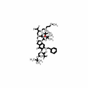 COCCOCOC(CN(C[C@H]1Cc2c(cc(OCc3ccccc3)c(N(CC(=O)OC(C)(C)C)C(=O)C(F)(F)F)c2F)N1C(=O)OC(C)(C)C)C(=O)OC(C)(C)C)C(F)F